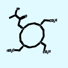 CC(C)C(C)C(=O)CN1CCN(CC(=O)O)CCN(CC(=O)O)CCN(CC(=O)O)CC1